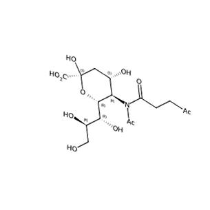 CC(=O)CCC(=O)N(C(C)=O)[C@H]1[C@H]([C@H](O)[C@H](O)CO)O[C@](O)(C(=O)O)C[C@@H]1O